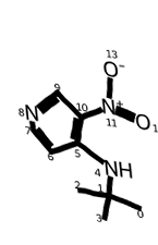 CC(C)(C)Nc1ccncc1[N+](=O)[O-]